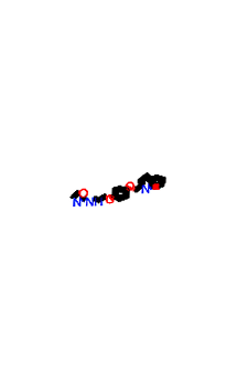 c1ccc2nc(COc3ccc(OCCCNC4=NCCO4)cc3)ccc2c1